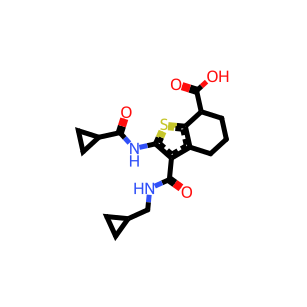 O=C(NCC1CC1)c1c(NC(=O)C2CC2)sc2c1CCCC2C(=O)O